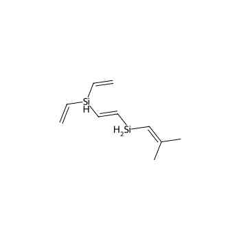 C=C[SiH](C=C)C=C[SiH2]C=C(C)C